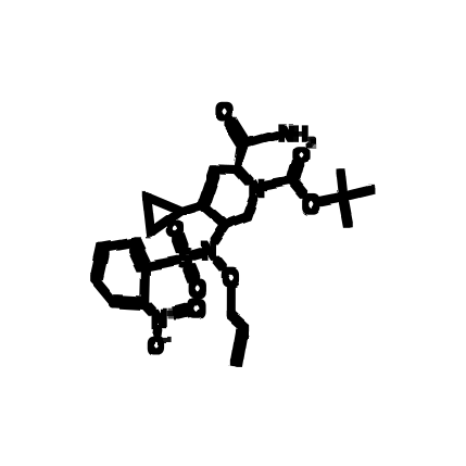 C=CCON(C1CN(C(=O)OC(C)(C)C)[C@H](C(N)=O)C=C1C1CC1)S(=O)(=O)c1ccccc1[N+](=O)[O-]